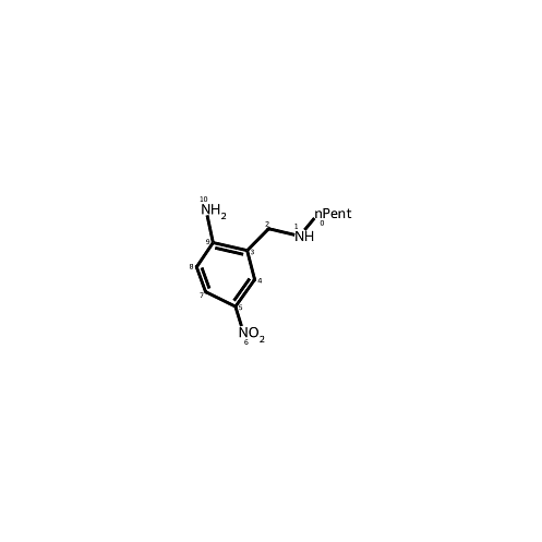 CCCCCNCc1cc([N+](=O)[O-])ccc1N